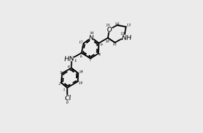 Clc1ccc(Nc2ccc(C3CNCCO3)nc2)cc1